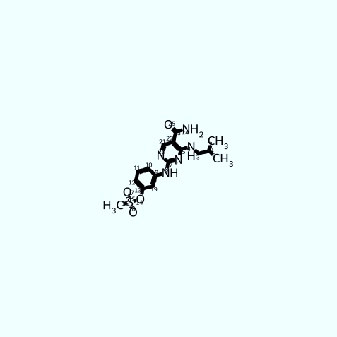 CC(C)CNc1nc(Nc2cccc(OS(C)(=O)=O)c2)ncc1C(N)=O